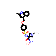 Cc1cc(COc2ccc(S(=O)(=O)NC3(C(=O)NO)CN(C=O)C3)cc2)c2ccccc2n1